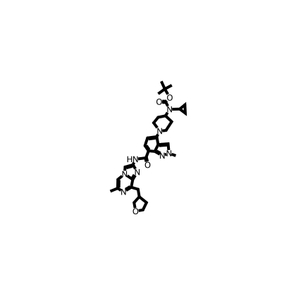 Cc1cn2cc(NC(=O)c3ccc(N4CCC(N(C(=O)OC(C)(C)C)C5CC5)CC4)c4cn(C)nc34)nc2c(CC2CCOC2)n1